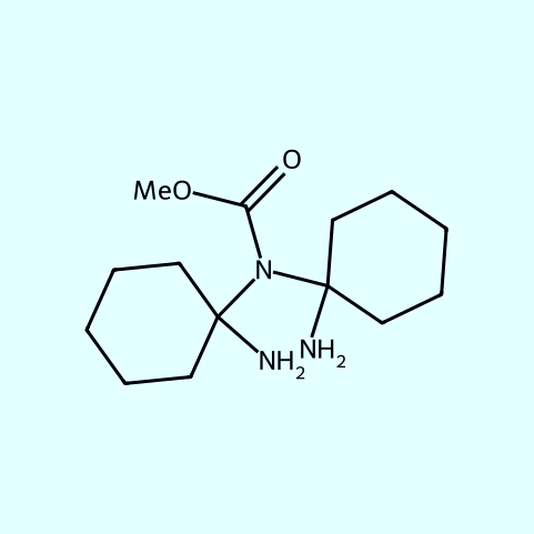 COC(=O)N(C1(N)CCCCC1)C1(N)CCCCC1